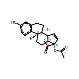 CC(=O)O[C@]12C=C[C@]3(CC1=O)[C@@H]1CCc4cc(O)ccc4[C@H]1CC[C@@]32C